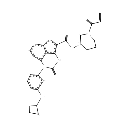 C=CC(=O)N1CCC[C@@H](NC(=O)c2sc3nccc4c3c2NC(=O)N4c2cccc(OC3CCC3)c2)C1